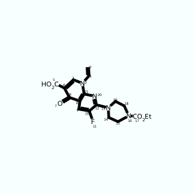 C=Cn1cc(C(=O)O)c(=O)c2cc(F)c(N3CCN(C(=O)OCC)CC3)nc21